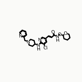 O=C(/C=C/c1cnc(NC2CCN(Cc3ccccn3)CC2)c(Cl)c1)NOC1CCCCO1